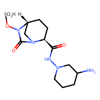 NC1CCCN(NC(=O)[C@@H]2CC[C@@H]3CN2C(=O)N3OS(=O)(=O)O)C1